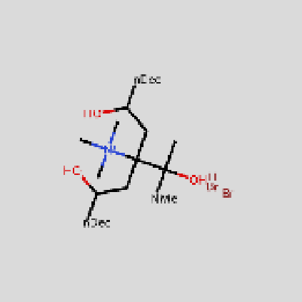 Br.CCCCCCCCCCC(O)CC(CC(O)CCCCCCCCCC)(C(C)(O)NC)[N+](C)(C)C.[Br-]